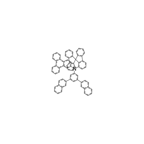 c1ccc2c(c1)-c1ccccc1C21c2ccccc2-c2cccc(N(c3cc(-c4ccc5ccccc5c4)cc(-c4ccc5ccccc5c4)c3)c3ccc4c5ccccc5c5ccccc5c4c3)c21